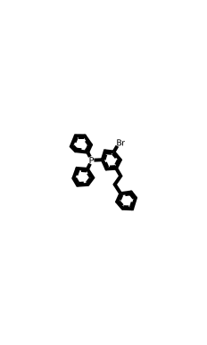 Brc1cc(CCc2ccccc2)cc(P(c2ccccc2)c2ccccc2)c1